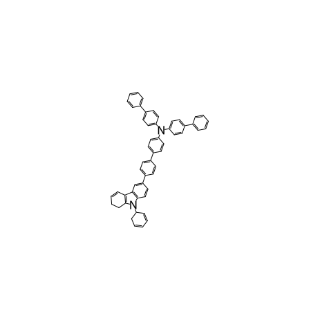 C1=CCC(n2c3c(c4cc(-c5ccc(-c6ccc(N(c7ccc(-c8ccccc8)cc7)c7ccc(-c8ccccc8)cc7)cc6)cc5)ccc42)C=CCC3)C=C1